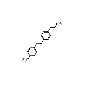 CCC/C=C/c1ccc(CCc2ccc(C(F)(F)F)cc2)cc1